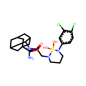 NC(=O)C12CC3CC(C1)C(NC(=O)CN1CCCN(c4ccc(Cl)c(Cl)c4)S1(O)O)C(C3)C2